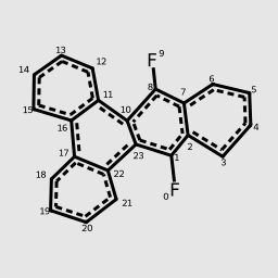 Fc1c2ccccc2c(F)c2c3ccccc3c3ccccc3c12